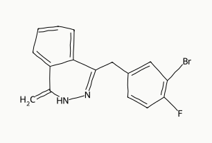 C=C1NN=C(Cc2ccc(F)c(Br)c2)c2ccccc21